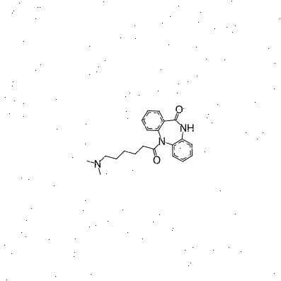 CN(C)CCCCCC(=O)N1c2ccccc2NC(=O)c2ccccc21